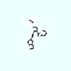 CN[C@@H](C)C(=O)Nc1ccc(-c2c(C)nc3ccccn23)c(C#Cc2ccc3nc(C)ccc3c2)n1